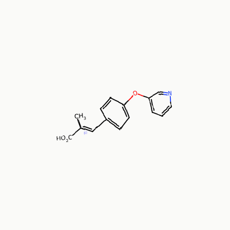 C/C(=C\c1ccc(Oc2cccnc2)cc1)C(=O)O